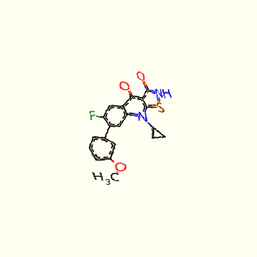 COc1cccc(-c2cc3c(cc2F)c(=O)c2c(=O)[nH]sc2n3C2CC2)c1